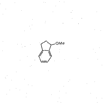 COC1CCc2ccccc21